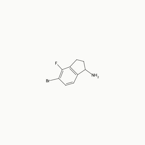 NC1CCc2c1ccc(Br)c2F